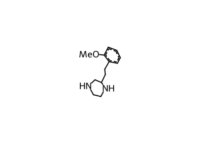 COc1ccccc1CCC1CNCCN1